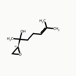 CC(C)=CCCC(C)(O)[C@@H]1CO1